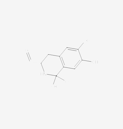 CC1(C)N[C@H]([C]=O)Cc2cc(O)c(O)cc21